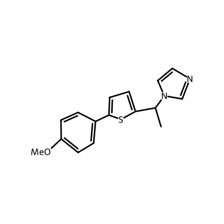 COc1ccc(-c2ccc(C(C)n3ccnc3)s2)cc1